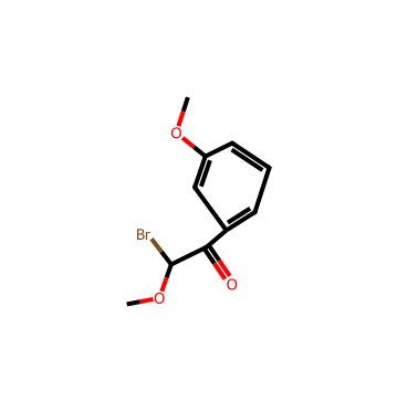 COc1cccc(C(=O)C(Br)OC)c1